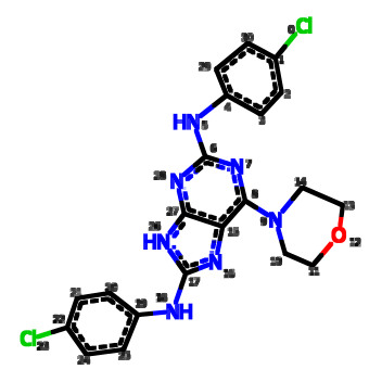 Clc1ccc(Nc2nc(N3CCOCC3)c3nc(Nc4ccc(Cl)cc4)[nH]c3n2)cc1